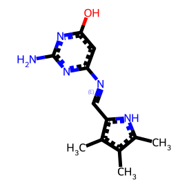 Cc1[nH]c(/C=N/c2cc(O)nc(N)n2)c(C)c1C